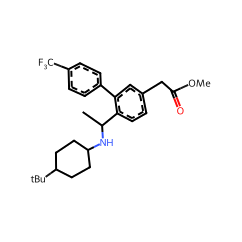 COC(=O)Cc1ccc(C(C)NC2CCC(C(C)(C)C)CC2)c(-c2ccc(C(F)(F)F)cc2)c1